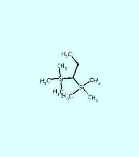 [CH2]CC([Si](C)(C)C)[Si](C)(C)C